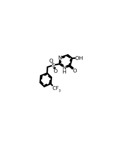 O=c1[nH]c(S(=O)(=O)Cc2cccc(C(F)(F)F)c2)ncc1O